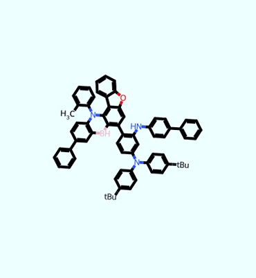 Cc1ccccc1N1c2ccc(-c3ccccc3)cc2Bc2c(-c3ccc(N(c4ccc(C(C)(C)C)cc4)c4ccc(C(C)(C)C)cc4)cc3Nc3ccc(-c4ccccc4)cc3)cc3oc4ccccc4c3c21